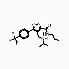 CCCNC(=O)c1noc(-c2ccc(C(F)(F)F)cc2)c1CNC(C)C